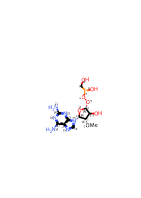 CO[C@H]1C(O)[C@@H](OOP(O)CO)O[C@H]1n1cnc2c(N)nc(N)nc21